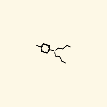 CCCCP(CCCC)c1ccc(C)cc1